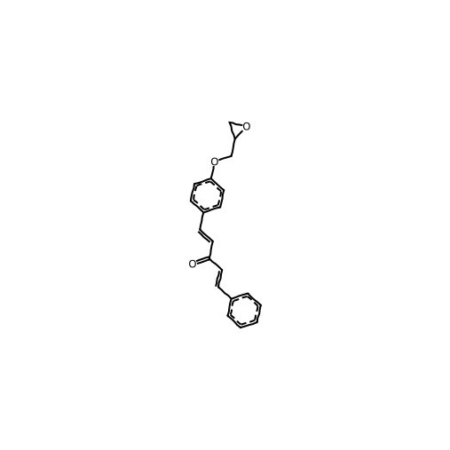 O=C(/C=C/c1ccccc1)/C=C/c1ccc(OCC2CO2)cc1